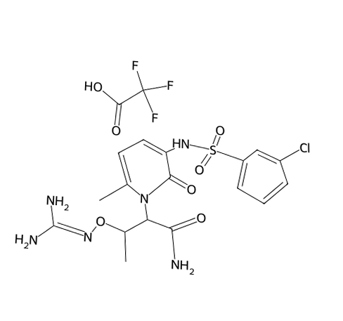 Cc1ccc(NS(=O)(=O)c2cccc(Cl)c2)c(=O)n1C(C(N)=O)C(C)ON=C(N)N.O=C(O)C(F)(F)F